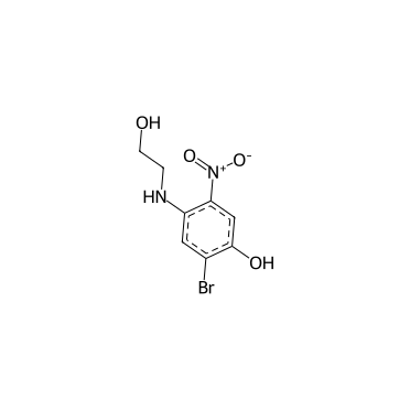 O=[N+]([O-])c1cc(O)c(Br)cc1NCCO